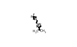 CC(C)c1cnn(CCN2CC(F)(F)C2)n1